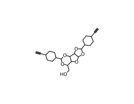 C#CC1CCC(C2OC3OC4C(CO)OC(C5CCC(C#C)CC5)OC4C3O2)CC1